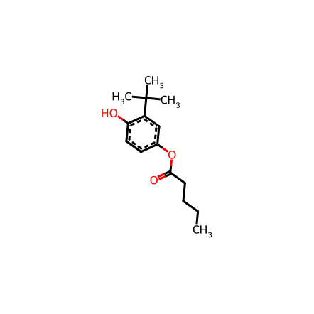 CCCCC(=O)Oc1ccc(O)c(C(C)(C)C)c1